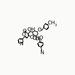 Cc1ccc(CO[C@H]2CC3C(O)c4c(cc(-c5cccnc5)oc4=O)O[C@]3(C)[C@@H](OC(=O)c3ccc(C#N)cc3)C2)cc1